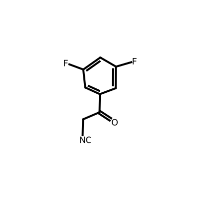 [C-]#[N+]CC(=O)c1cc(F)cc(F)c1